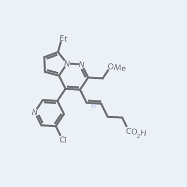 CCc1ccc2c(-c3cncc(Cl)c3)c(/C=C/CCC(=O)O)c(COC)nn12